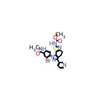 CNC(=O)c1ccc(-n2nc(-c3cccnc3)c3c2-c2sc(NC(=O)OC)nc2CC3)c(Br)c1